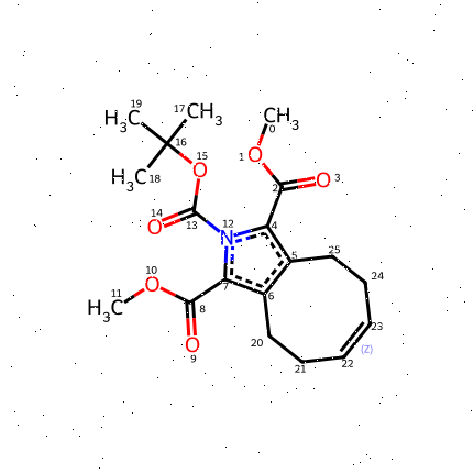 COC(=O)c1c2c(c(C(=O)OC)n1C(=O)OC(C)(C)C)CC/C=C\CC2